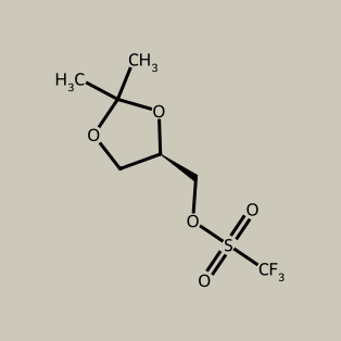 CC1(C)OC[C@H](COS(=O)(=O)C(F)(F)F)O1